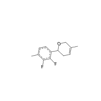 CC1=CCC(c2ccc(C)c(F)c2F)OC1